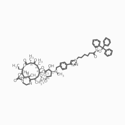 CC[C@H]1OC(=O)[C@H](C)C(=O)[C@H](C)[C@@H](O[C@@H]2O[C@H](C)C[C@H](N(C)Cc3ccc(-c4cn(CCCCCC(=O)NOC(c5ccccc5)(c5ccccc5)c5ccccc5)nn4)cc3)[C@H]2O)[C@](C)(OC)C[C@@H](C)C2=NCCN3C(=O)O[C@@]1(C)[C@H]3[C@H]2C